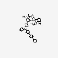 CC1(C)Cc2cc3c(cc2-c2cc(-c4ccc(N(c5ccccc5)c5ccc(-c6ccc(-c7ccccc7)cc6)cc5)cc4)ccc21)C(C)(C)c1ccccc1-3